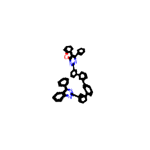 c1ccc(-c2nc(-c3cccc(-c4cccc(-c5cccc(-c6cccc(-c7nc(-c8ccccc8)c8c(n7)oc7ccccc78)c6)c5)c4)c3)nc3ccccc23)cc1